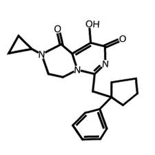 O=C1c2c(O)c(=O)nc(CC3(c4ccccc4)CCCC3)n2CCN1C1CC1